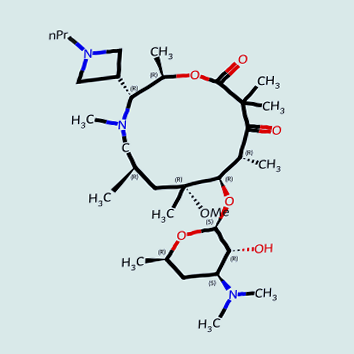 CCCN1CC([C@@H]2[C@@H](C)OC(=O)C(C)(C)C(=O)[C@H](C)[C@@H](O[C@@H]3O[C@H](C)C[C@H](N(C)C)[C@H]3O)[C@](C)(OC)C[C@@H](C)CN2C)C1